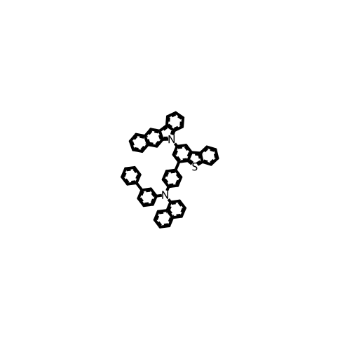 c1ccc(-c2cccc(N(c3ccc(-c4cc(-n5c6ccccc6c6cc7ccccc7cc65)cc5c4sc4ccccc45)cc3)c3cccc4ccccc34)c2)cc1